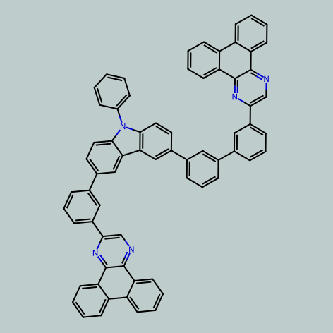 c1ccc(-n2c3ccc(-c4cccc(-c5cccc(-c6cnc7c8ccccc8c8ccccc8c7n6)c5)c4)cc3c3cc(-c4cccc(-c5cnc6c7ccccc7c7ccccc7c6n5)c4)ccc32)cc1